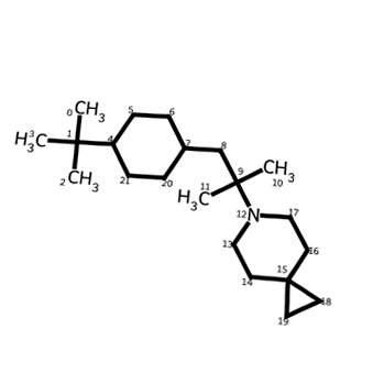 CC(C)(C)C1CCC(CC(C)(C)N2CCC3(CC2)CC3)CC1